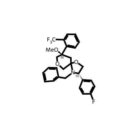 CO[C@]1(c2ccccc2C(F)(F)F)COCC2(C1)OC[C@H](c1ccc(F)cc1)N2Cc1ccccc1